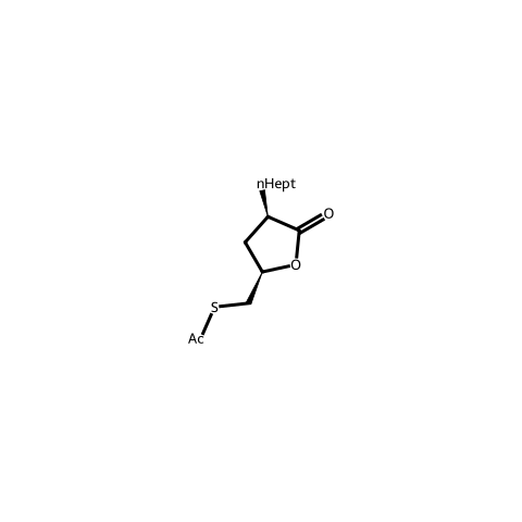 CCCCCCC[C@@H]1C[C@H](CSC(C)=O)OC1=O